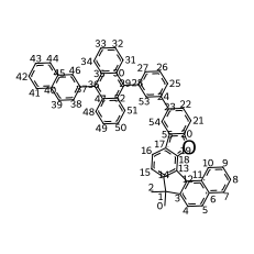 CC1(C)c2ccc3ccccc3c2-c2c1ccc1c2oc2ccc(-c3cccc(-c4c5ccccc5c(-c5ccc6ccccc6c5)c5ccccc45)c3)cc21